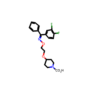 O=C(O)N1CCC(OCCON=C(c2ccccc2)c2ccc(F)c(F)c2)CC1